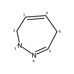 C1=CC[N]N=CC1